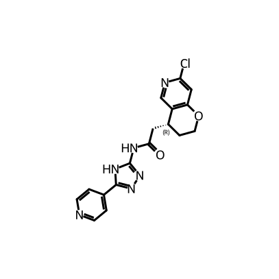 O=C(C[C@H]1CCOc2cc(Cl)ncc21)Nc1nnc(-c2ccncc2)[nH]1